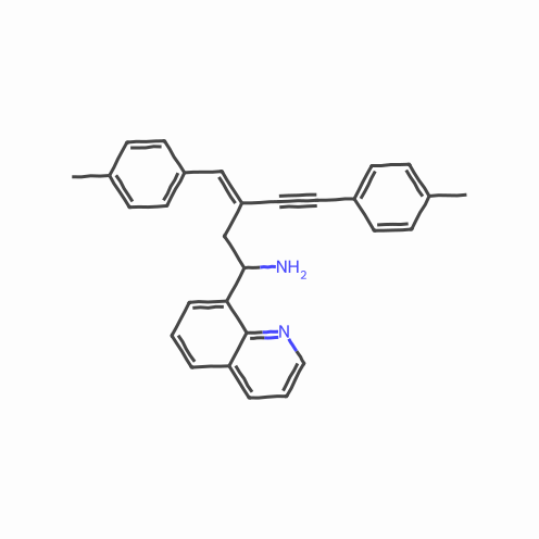 Cc1ccc(C#C/C(=C/c2ccc(C)cc2)CC(N)c2cccc3cccnc23)cc1